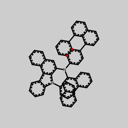 c1ccc(-c2cccc3cccc(-c4ccc(N(c5cc6ccccc6c6ccccc56)c5cc6ccccc6c6c7ccccc7n(-c7ccccc7)c56)cc4)c23)cc1